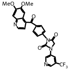 COc1cc2nccc(C(=O)c3ccc(N4C(=O)CN(c5cncc(C(F)(F)F)c5)C4=O)cc3)c2cc1OC